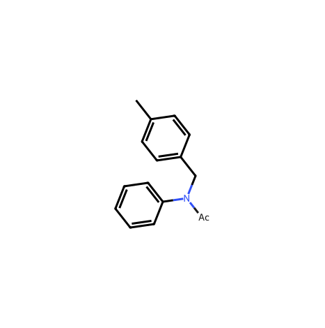 CC(=O)N(Cc1ccc(C)cc1)c1ccccc1